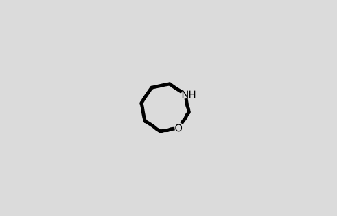 C1CCNCOCC1